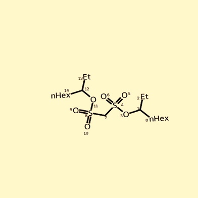 CCCCCCC(CC)OS(=O)(=O)CS(=O)(=O)OC(CC)CCCCCC